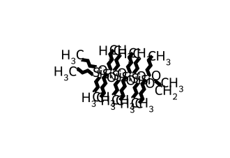 C=C(C)C(=O)O[Si](CCCCC)(CCCCC)O[Si](CCCCC)(CCCCC)O[Si](CCCCC)(CCCCC)O[Si](CCCCC)(CCCCC)O[Si](CCCCC)(CCCCC)O[Si](CCCCC)(CCCCC)CCCCC